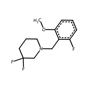 COc1cccc(F)c1CN1CCCC(F)(F)C1